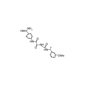 COc1cccc([C@H](C)NC(=O)CNC(=O)C(=O)Nc2ccc(C(=N)N)cc2)c1